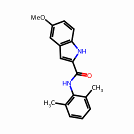 COc1ccc2[nH]c(C(=O)Nc3c(C)cccc3C)cc2c1